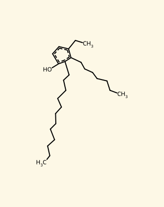 CCCCCCCCCCCCc1c(O)ccc(CC)c1CCCCCCC